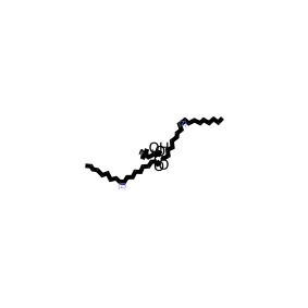 CCCCCCCC/C=C\CCCCCCCC(=O)P(=O)(C(=O)CCCCCCC/C=C\CCCCCCCC)C(O)C[N+](C)(C)C